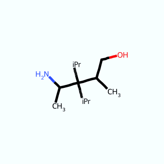 CC(C)C(C(C)C)(C(C)N)C(C)CO